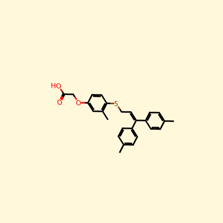 Cc1ccc(C(=CCSc2ccc(OCC(=O)O)cc2C)c2ccc(C)cc2)cc1